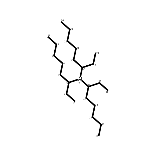 CCCCC[CH](CC)[Al]([CH](CC)CCCCC)[CH](CC)CCCCC